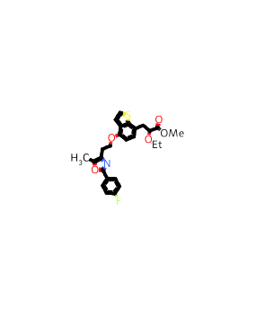 CCOC(Cc1ccc(OCCc2nc(-c3ccc(F)cc3)oc2C)c2ccsc12)C(=O)OC